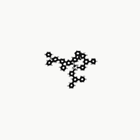 CC1(C)c2ccccc2-c2cc3c4cc(-c5ccc(-c6ccc7c(c6)c6ccccc6n7-c6ccccc6)cc5-c5ccccc5)ccc4n(-c4nc(-c5cccc(-c6cc(-c7ccccc7)cc(-c7ccccc7)c6)c5)nc(-c5cccc(-c6cc(-c7ccccc7)cc(-c7ccccc7)c6)c5)n4)c3cc21